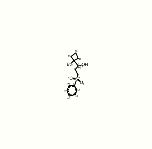 CCC1([C@@H](O)CCS(=O)(=O)c2ccccc2)CCC1